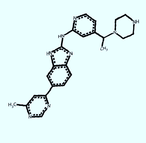 Cc1cc(-c2ccc3nc(Nc4cc(C(C)N5CCNCC5)ccn4)[nH]c3c2)ncn1